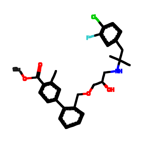 Cc1cc(-c2ccccc2COC[C@H](O)CNC(C)(C)Cc2ccc(Cl)c(F)c2)ccc1C(=O)OC(C)(C)C